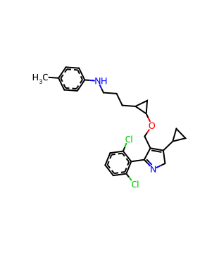 Cc1ccc(NCCCC2CC2OCC2=C(C3CC3)CN=C2c2c(Cl)cccc2Cl)cc1